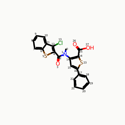 CN(C(=O)c1sc2ccccc2c1Cl)c1cc(-c2ccccc2)sc1C(=O)O